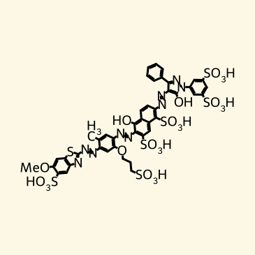 COc1cc2sc(N=Nc3cc(OCCCS(=O)(=O)O)c(N=Nc4c(S(=O)(=O)O)cc5c(S(=O)(=O)O)c(N=Nc6c(-c7ccccc7)nn(-c7cc(S(=O)(=O)O)cc(S(=O)(=O)O)c7)c6O)ccc5c4O)cc3C)nc2cc1S(=O)(=O)O